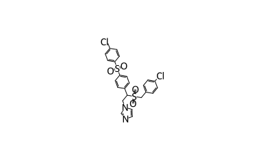 O=S(=O)(c1ccc(Cl)cc1)c1ccc(C(Cn2ccnc2)S(=O)(=O)Cc2ccc(Cl)cc2)cc1